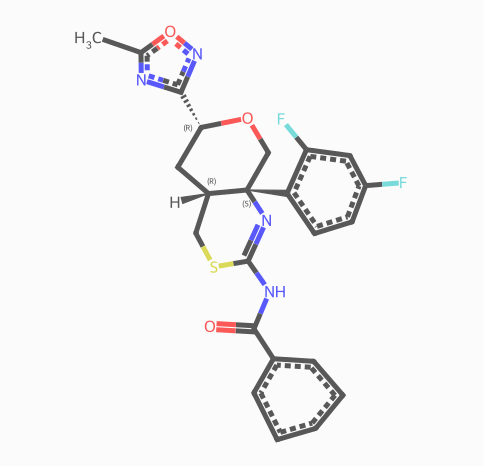 Cc1nc([C@H]2C[C@H]3CSC(NC(=O)c4ccccc4)=N[C@@]3(c3ccc(F)cc3F)CO2)no1